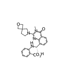 C[C@H](Nc1ccccc1C(=O)O)c1cccc2c(=O)n(C)c(N3CCC4(COC4)C3)nc12